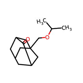 CC(C)OCC12CC3CC(C1)C(=O)C(C3)C2